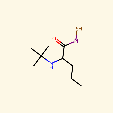 CCCC(NC(C)(C)C)C(=O)PS